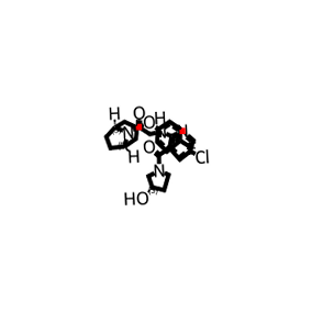 O=C(c1cc(Cl)cnc1NCC(=O)N1[C@@H]2CC[C@H]1CC(Oc1ccc(F)cc1)C2)N1CC[C@H](O)C1